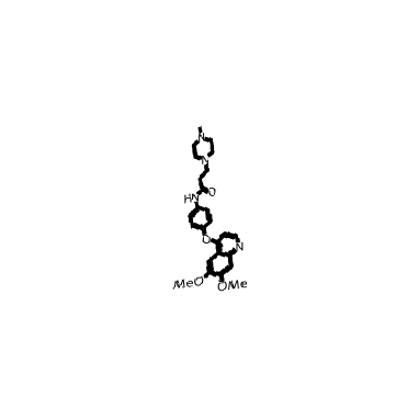 COc1cc2nccc(Oc3ccc(NC(=O)CCN4CCN(C)CC4)cc3)c2cc1OC